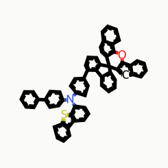 c1ccc(-c2ccc(N(c3ccc(-c4cccc5c4-c4ccccc4C54c5ccc6ccccc6c5Oc5c4ccc4ccccc54)cc3)c3cccc4c3sc3ccccc34)cc2)cc1